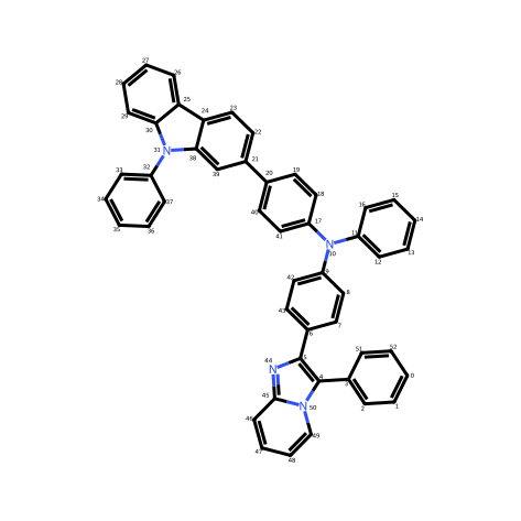 c1ccc(-c2c(-c3ccc(N(c4ccccc4)c4ccc(-c5ccc6c7ccccc7n(-c7ccccc7)c6c5)cc4)cc3)nc3ccccn23)cc1